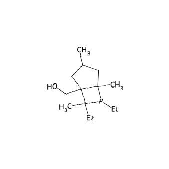 CCP1C(C)(CC)C2(CO)CC(C)CC12C